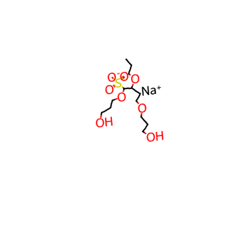 CCCOC(CCOCCCO)C(OCCCO)S(=O)(=O)[O-].[Na+]